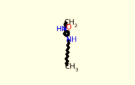 C=CC(=O)Nc1ccc(NCCCCCCCCCCCC)cc1